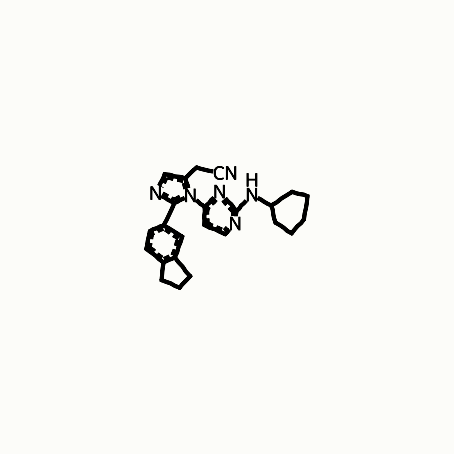 N#CCc1cnc(-c2ccc3c(c2)CCC3)n1-c1ccnc(NC2CCCCC2)n1